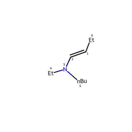 CC/C=C/N(CC)CCCC